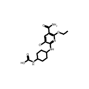 CCOc1nc(NC2CCC(NC(=O)O)CC2)c(Cl)cc1C(N)=O